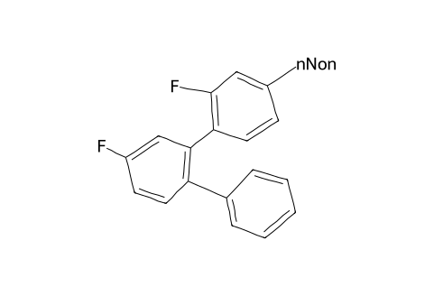 CCCCCCCCCc1ccc(-c2cc(F)ccc2-c2ccccc2)c(F)c1